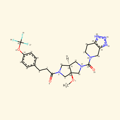 CO[C@@]12CN(C(=O)CCc3ccc(OC(F)(F)F)cc3)C[C@H]1CN(C(=O)N1CCc3[nH]nnc3C1)C2